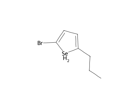 CCCC1=CC=C(Br)[SeH2]1